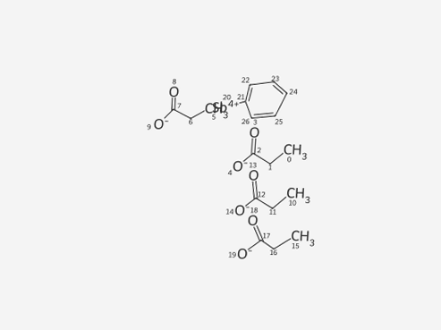 CCC(=O)[O-].CCC(=O)[O-].CCC(=O)[O-].CCC(=O)[O-].[Sb+4][c]1ccccc1